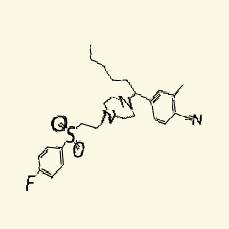 CCCCCC(c1ccc(C#N)c(C)c1)N1CCN(CCS(=O)(=O)c2ccc(F)cc2)CC1